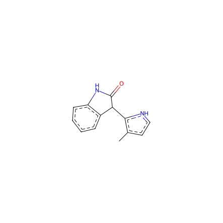 Cc1cc[nH]c1C1C(=O)Nc2ccccc21